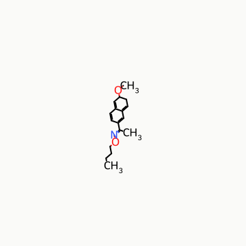 CCCCO/N=C(\C)c1ccc2c(c1)=CCC(OC)C=2